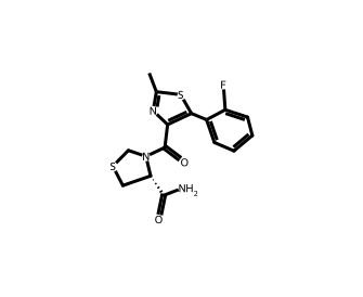 Cc1nc(C(=O)N2CSC[C@H]2C(N)=O)c(-c2ccccc2F)s1